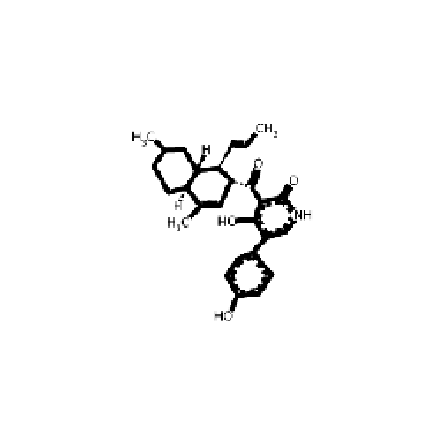 C/C=C/[C@@H]1[C@H]2CC(C)CC[C@@H]2C(C)=C[C@H]1C(=O)c1c(O)c(-c2ccc(O)cc2)c[nH]c1=O